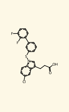 O=C(O)CCc1cn(Sc2cccc(-c3cccc(F)c3F)c2)c2ccc(Cl)cc12